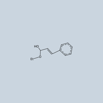 CCOC(O)/C=C/c1ccccc1